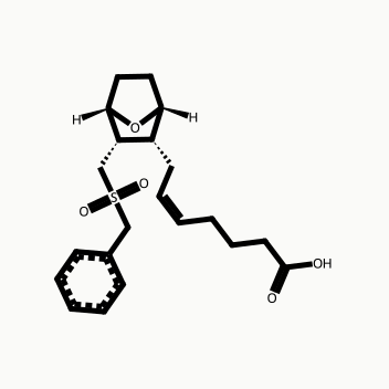 O=C(O)CCC/C=C\C[C@@H]1[C@H](CS(=O)(=O)Cc2ccccc2)[C@@H]2CC[C@H]1O2